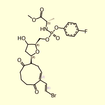 COC(=O)[C@H](C)NP(=O)(OC[C@H]1O[C@@H](C2C/C=C(/C=C/Br)C(=O)CCCC2=O)CC1O)Oc1ccc(F)cc1